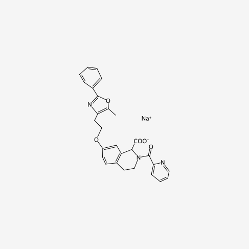 Cc1oc(-c2ccccc2)nc1CCOc1ccc2c(c1)C(C(=O)[O-])N(C(=O)c1ccccn1)CC2.[Na+]